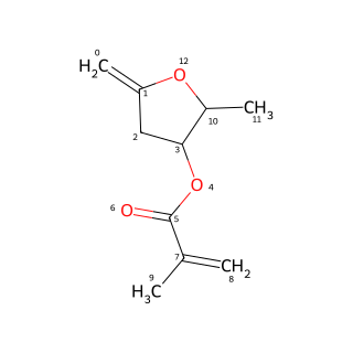 C=C1CC(OC(=O)C(=C)C)C(C)O1